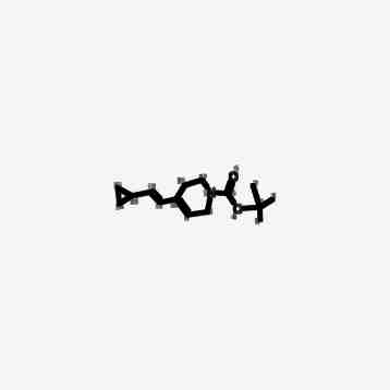 CC(C)(C)OC(=O)N1CC=C(C=CC2CC2)CC1